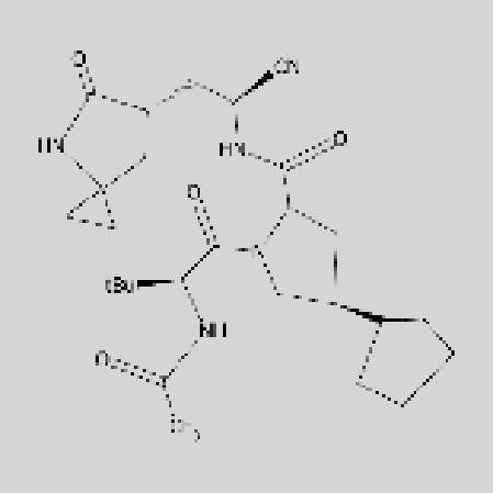 CC(C)(C)[C@H](NC(=O)C(F)(F)F)C(=O)N1C[C@H](C2CCCC2)CC1C(=O)N[C@H](C#N)C[C@@H]1CC2(CC2)NC1=O